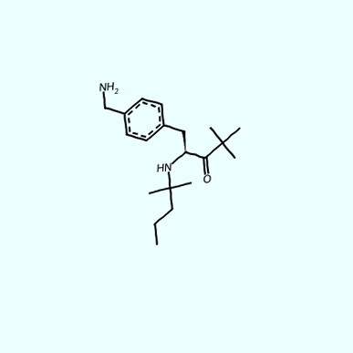 CCCC(C)(C)N[C@@H](Cc1ccc(CN)cc1)C(=O)C(C)(C)C